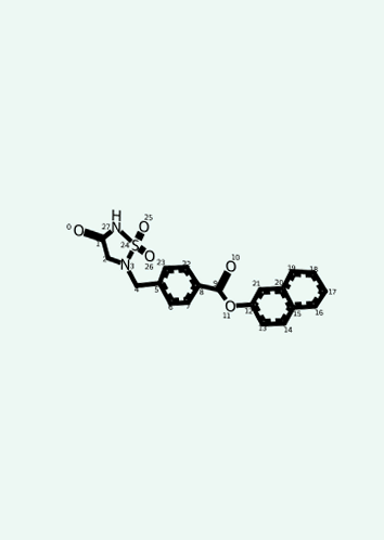 O=C1CN(Cc2ccc(C(=O)Oc3ccc4ccccc4c3)cc2)S(=O)(=O)N1